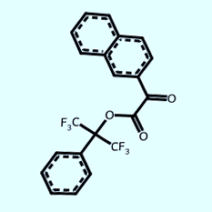 O=C(OC(c1ccccc1)(C(F)(F)F)C(F)(F)F)C(=O)c1ccc2ccccc2c1